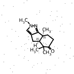 Cn1cc2c(n1)[C@@]1(C)CCC(=O)C(C)(C)[C@H]1C2